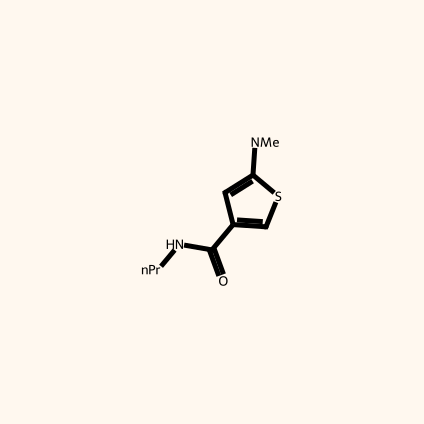 CCCNC(=O)c1csc(NC)c1